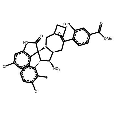 COC(=O)c1ccc(C(=O)C[C@H]2[C@@H]([N+](=O)[O-])[C@H](c3cccc(Cl)c3F)[C@]3(C(=O)Nc4cc(Cl)ccc43)N2CC2CCC2)c([N+](=O)[O-])c1